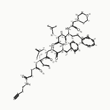 C#CCCNC(=O)CCC(=O)O[C@](C)(CC)C(=O)[C@H](CC(C)C)NC(=O)[C@H](Cc1ccccc1)NC(=O)[C@H](CC(C)C)NC(=O)[C@H](CCc1ccccc1)NC(=O)CN1CCOCC1